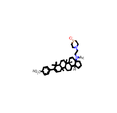 CC(=O)N(CCN1CC[S+]([O-])CC1)C12CCC[C@@H]1C1CCC3C4(C)CC=C(c5ccc(C(=O)O)cc5)C(C)(C)C4CCC3(C)[C@]1(C)CC2